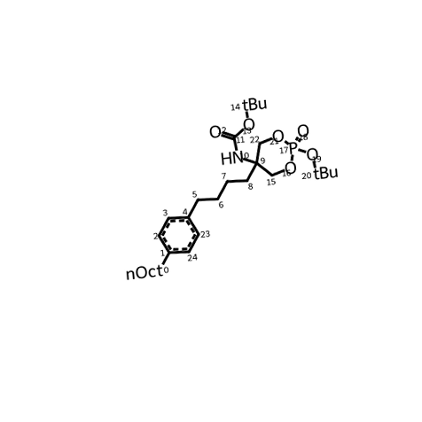 CCCCCCCCc1ccc(CCCCC2(NC(=O)OC(C)(C)C)COP(=O)(OC(C)(C)C)OC2)cc1